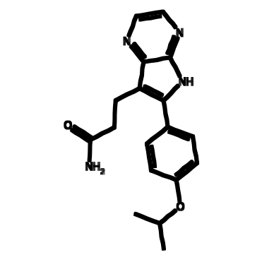 CC(C)Oc1ccc(-c2[nH]c3nccnc3c2CCC(N)=O)cc1